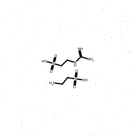 N=C(N)NCCS(=O)(=O)O.NCCS(=O)(=O)O